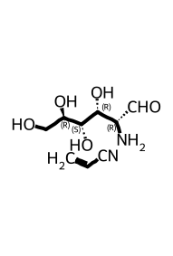 C=CC#N.N[C@@H](C=O)[C@@H](O)[C@H](O)[C@H](O)CO